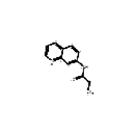 CCC(=O)Nc1ccc2cccnc2c1